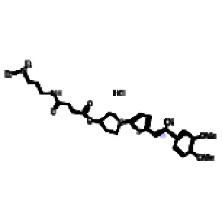 CCN(CC)CCCNC(=O)CCC(=O)OC1CCN(c2ccc(/C=C(\C#N)c3ccc(OC)c(OC)c3)s2)CC1.Cl